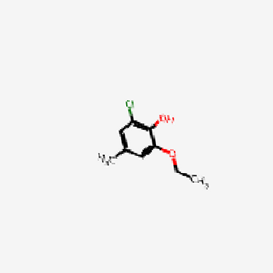 CCOc1cc(C)cc(Cl)c1O